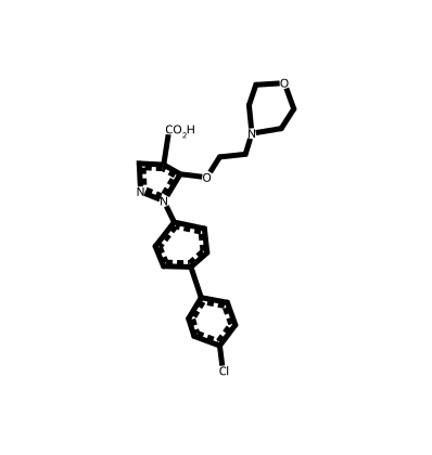 O=C(O)c1cnn(-c2ccc(-c3ccc(Cl)cc3)cc2)c1OCCN1CCOCC1